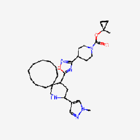 Cn1cc(C2CC(c3nc(C4CCN(C(=O)OC5(C)CC5)CC4)no3)C3(CCCCCCCCC3)CN2)cn1